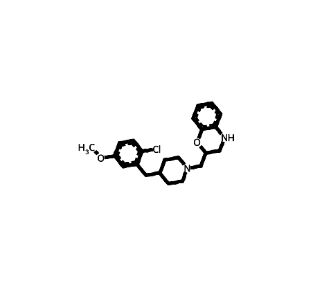 COc1ccc(Cl)c(CC2CCN(CC3CNc4ccccc4O3)CC2)c1